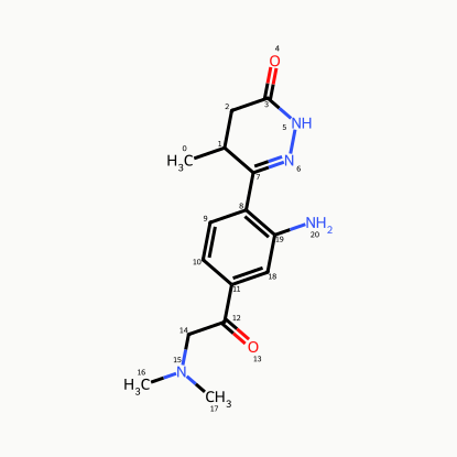 CC1CC(=O)NN=C1c1ccc(C(=O)CN(C)C)cc1N